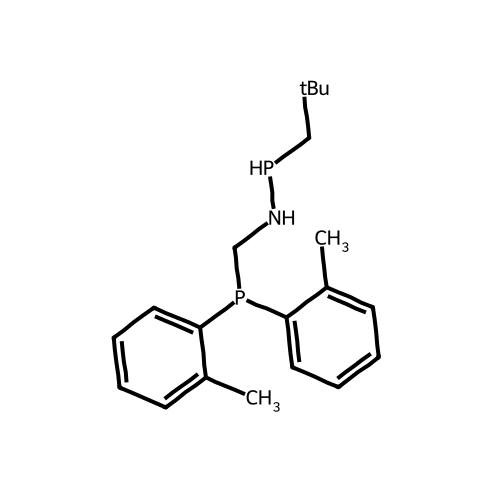 Cc1ccccc1P(CNPCC(C)(C)C)c1ccccc1C